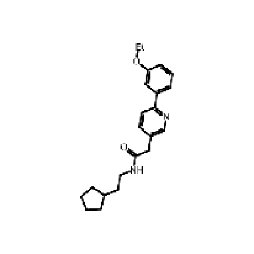 CCOc1cccc(-c2ccc(CC(=O)NCCC3CCCC3)cn2)c1